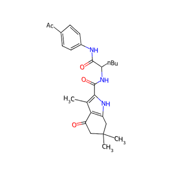 CCCCC(NC(=O)c1[nH]c2c(c1C)C(=O)CC(C)(C)C2)C(=O)Nc1ccc(C(C)=O)cc1